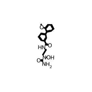 COc1ccccc1-c1cccc(C(=O)NCCN(O)C(N)=O)c1